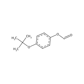 CC(C)(C)Oc1ccc(O[C]=O)cc1